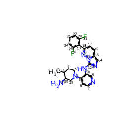 CC1CCN(c2ccncc2Nc2ncc3ccc(-c4c(F)cccc4F)nn23)CC1N